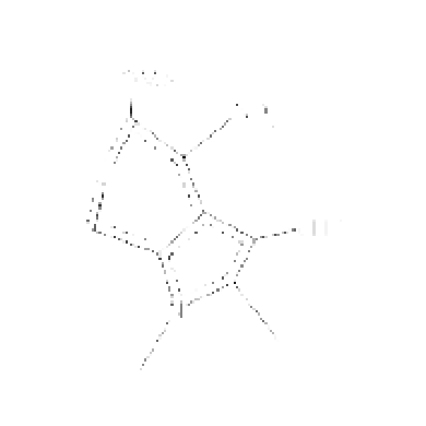 [CH2]c1c(C=O)c2c([N+](=O)[O-])c(OC)ccc2n1C